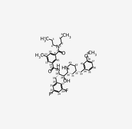 CCCN(CCC)C(=O)c1cc(C)cc(C(=O)N[C@@H](Cc2cc(F)cc(F)c2)[C@H](O)[C@H]2C[C@@H](Cc3cccc(OC)c3)CCN2)c1